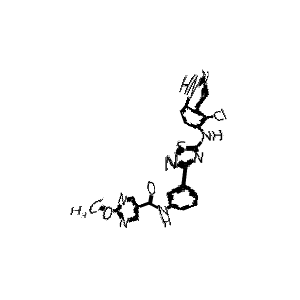 COc1ncc(C(=O)Nc2cccc(-c3nsc(Nc4ccc5[nH]ncc5c4Cl)n3)c2)cn1